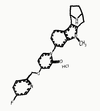 Cl.Cn1c2c(c3ccc(-n4ccc(OCc5ccc(F)cn5)cc4=O)cc31)C1CCC(C2)N1